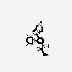 C[C@H]1C[C@H](C)CN(c2cc(NC(=O)C3CC3)ccc2-c2ncc3n2CCN(C)C3)C1